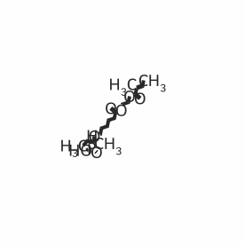 C/C=C(\C)C(=O)OCCOC(=O)CCCCCOC(C)(CC)[PH](=O)O